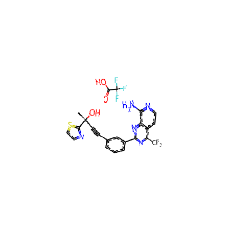 C[C@@](O)(C#Cc1cccc(-c2nc(C(F)(F)F)c3ccnc(N)c3n2)c1)c1nccs1.O=C(O)C(F)(F)F